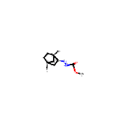 CC(C)(C)OC(=O)NN[C@H]1C[C@@H]2CC[C@H]1C2